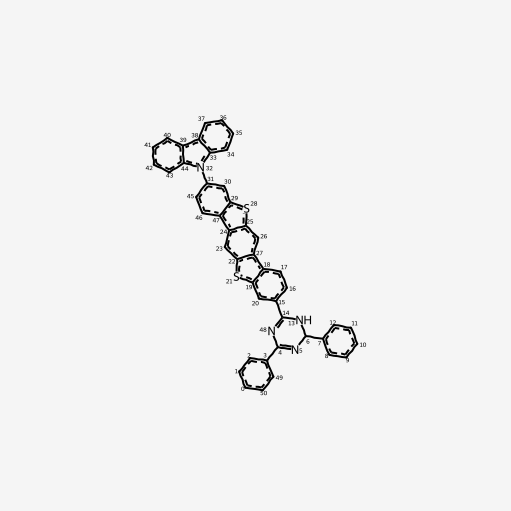 c1ccc(C2=NC(c3ccccc3)NC(c3ccc4c(c3)sc3cc5c(cc34)sc3cc(-n4c6ccccc6c6ccccc64)ccc35)=N2)cc1